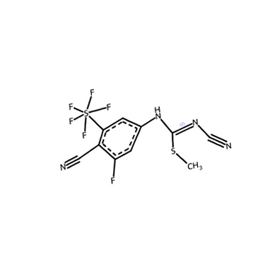 CS/C(=N\C#N)Nc1cc(F)c(C#N)c(S(F)(F)(F)(F)F)c1